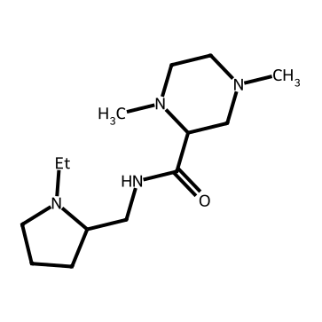 CCN1CCCC1CNC(=O)C1CN(C)CCN1C